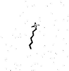 CCCCCCC[N+](C)(C)C